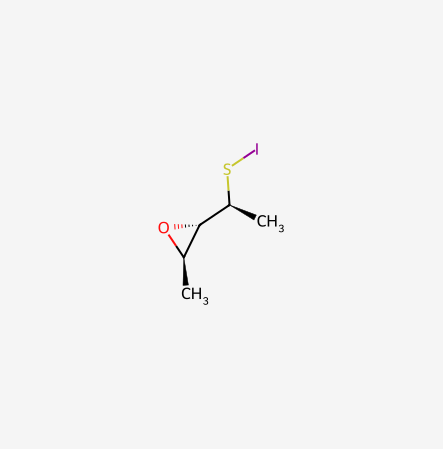 C[C@H](SI)[C@H]1O[C@@H]1C